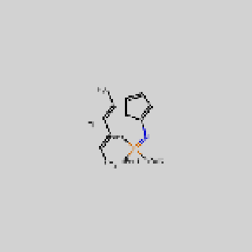 CC=CC=CC.CCCCCP(CCCCC)(CCCCC)=NC1=CC=CC1.[Ti]